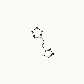 C(=Cc1nnc[nH]1)c1nnon1